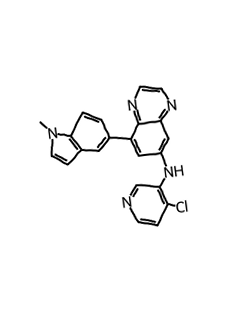 Cn1ccc2cc(-c3cc(Nc4cnccc4Cl)cc4nccnc34)ccc21